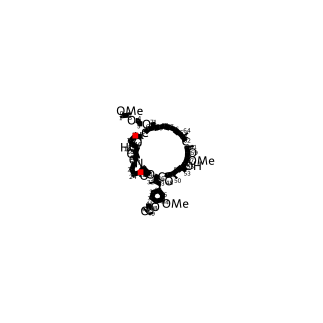 COCCOCCOC1C[C@@H]2CC[C@@H](C)[C@@](O)(O2)C(=O)C(=O)N2CCCC[C@H]2C(=O)O[C@H]([C@H](C)C[C@@H]2CC[C@@H](OP(C)(C)=O)[C@H](OC)C2)CC(=O)[C@H](C)/C=C(\C)[C@@H](O)[C@@H](OC)C(=O)[C@H](C)C[C@H](C)/C=C/C=C/C=C/1C